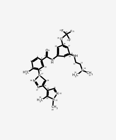 Cc1ccc(C(=O)Nc2cc(NCCN(C)C)cc(OC(F)(F)F)c2)cc1-n1cc(-c2cnn(C)c2C)nn1